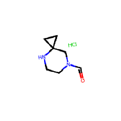 Cl.O=CN1CCNC2(CC2)C1